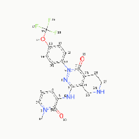 Cn1cccc(Nc2nn(-c3ccc(OC(F)(F)F)cc3)c(=O)c3c2CNCC3)c1=O